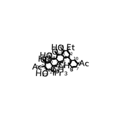 CCc1cc(-c2cccc(C(C)=O)c2)c2c(c1O)C(=O)C1=C(O)[C@@]3(O)C(=O)C(C(C)=O)=C(O)C(C(C)C)[C@@]3(C)C[C@@]1(C)C2